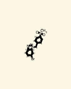 CS(=O)(=O)c1ccc(Cn2nnc3ccc(Br)cc32)cc1